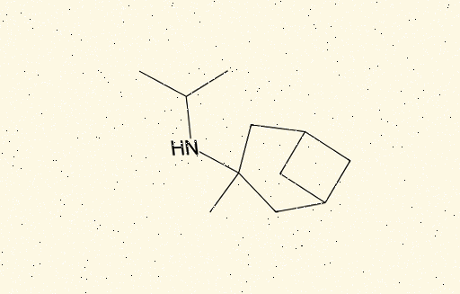 CC(C)NC1(C)CC2CC(C2)C1